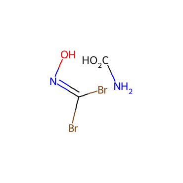 NC(=O)O.ON=C(Br)Br